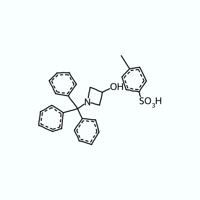 Cc1ccc(S(=O)(=O)O)cc1.OC1CN(C(c2ccccc2)(c2ccccc2)c2ccccc2)C1